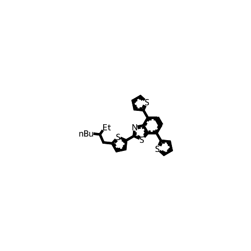 CCCCC(CC)Cc1ccc(-c2nc3c(-c4cccs4)c#cc(-c4cccs4)c3s2)s1